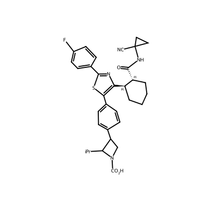 CC(C)C1C(c2ccc(-c3sc(-c4ccc(F)cc4)nc3[C@@H]3CCCC[C@H]3C(=O)NC3(C#N)CC3)cc2)CN1C(=O)O